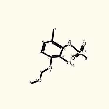 COCOc1ccc(C)c(OS(C)(=O)=O)c1Cl